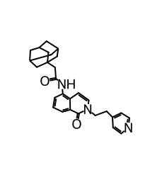 O=C(CC12CC3CC(CC(C3)C1)C2)Nc1cccc2c(=O)n(CCc3ccncc3)ccc12